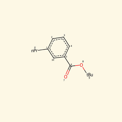 CCCc1cccc(C(=O)OC(C)(C)C)c1